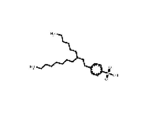 CCCCCCCCC(CCCCCC)CCc1ccc(S(=O)(=O)O)cc1